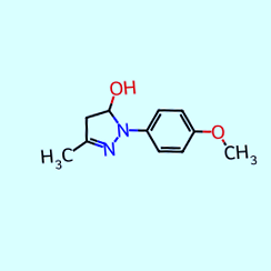 COc1ccc(N2N=C(C)CC2O)cc1